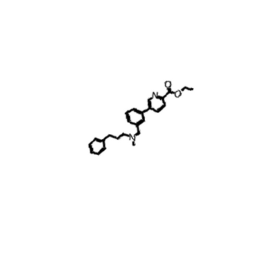 CCOC(=O)c1ccc(-c2cccc(CN(C)CCCc3ccccc3)c2)cn1